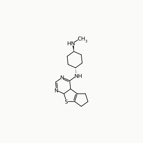 CN[C@H]1CC[C@H](NC2=NC=NC3SC4=C(CCC4)C23)CC1